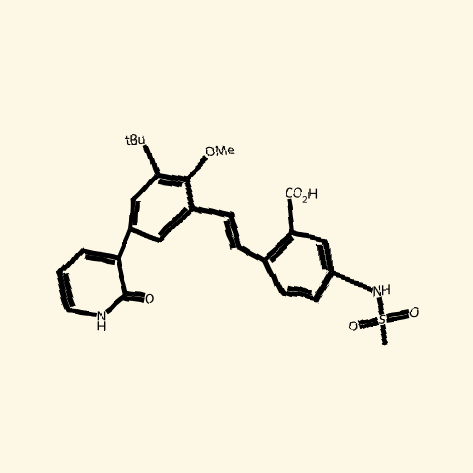 COc1c(/C=C/c2ccc(NS(C)(=O)=O)cc2C(=O)O)cc(-c2ccc[nH]c2=O)cc1C(C)(C)C